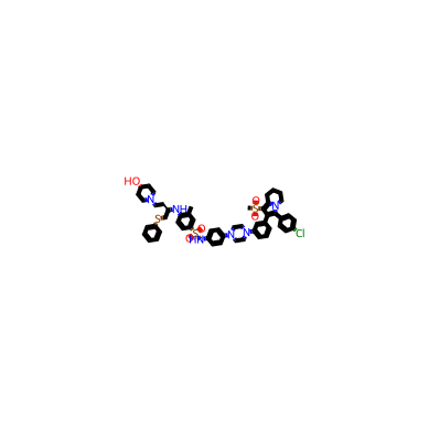 Cc1cc(S(=O)(=O)Nc2ccc(N3CCN(c4cccc(-c5c(S(C)(=O)=O)c6n(c5-c5ccc(Cl)cc5)CCCC6)c4)CC3)cc2)ccc1N[C@H](CCN1CCC(O)CC1)CSc1ccccc1